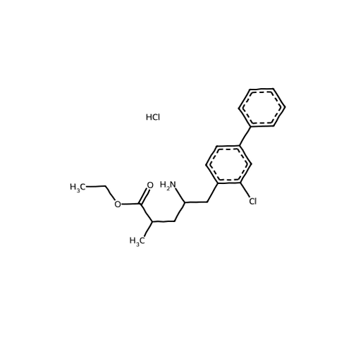 CCOC(=O)C(C)CC(N)Cc1ccc(-c2ccccc2)cc1Cl.Cl